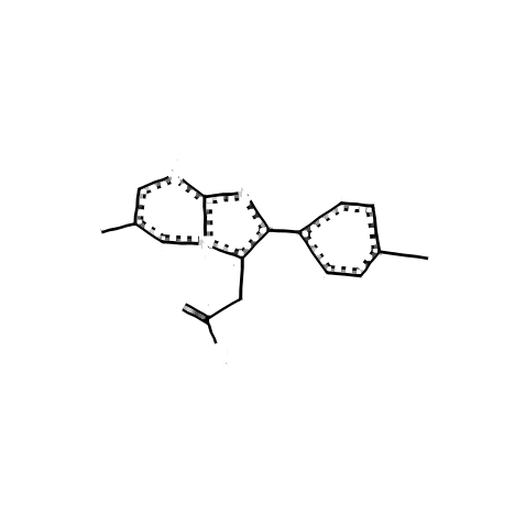 Cc1ccc(-c2nc3ncc(C)cn3c2CC(=O)O)cc1